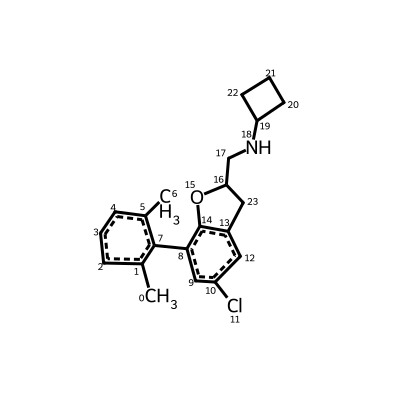 Cc1cccc(C)c1-c1cc(Cl)cc2c1OC(CNC1CCC1)C2